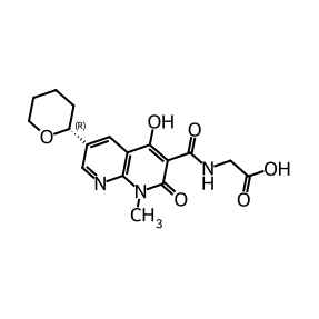 Cn1c(=O)c(C(=O)NCC(=O)O)c(O)c2cc([C@H]3CCCCO3)cnc21